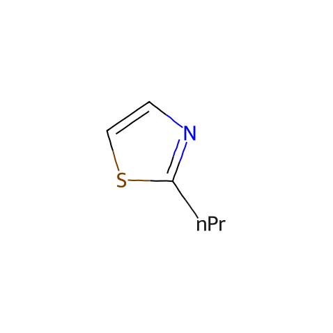 [CH2]CCc1nccs1